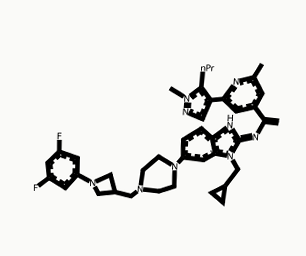 C=C(/N=c1\[nH]c2ccc(N3CCN(CC4CN(c5cc(F)cc(F)c5)C4)CC3)cc2n1CC1CC1)c1cc(C)nc(-c2cnn(C)c2CCC)c1